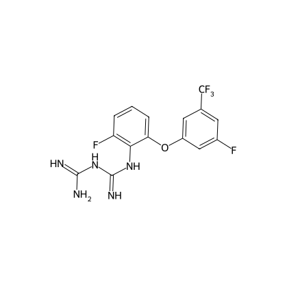 N=C(N)NC(=N)Nc1c(F)cccc1Oc1cc(F)cc(C(F)(F)F)c1